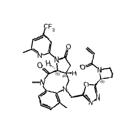 C=CC(=O)N1CC[C@H]1c1nnc(CN2C[C@H]3CC(=O)N(c4cc(C(F)(F)F)cc(C)n4)[C@@H]3C(=O)N(C)c3cccc(C)c32)o1